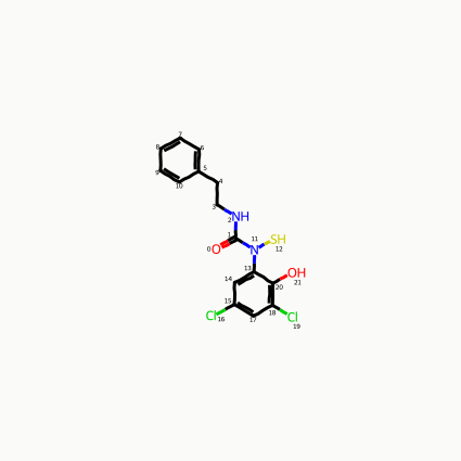 O=C(NCCc1ccccc1)N(S)c1cc(Cl)cc(Cl)c1O